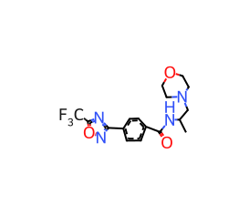 CC(CN1CCOCC1)NC(=O)c1ccc(-c2noc(C(F)(F)F)n2)cc1